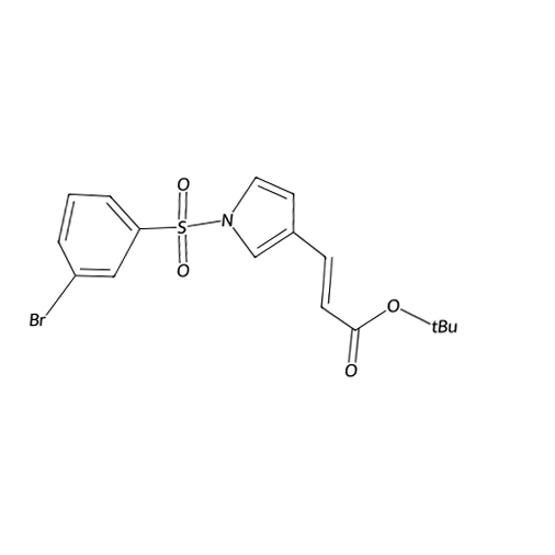 CC(C)(C)OC(=O)C=Cc1ccn(S(=O)(=O)c2cccc(Br)c2)c1